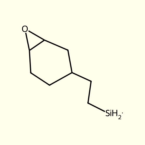 [SiH2]CCC1CCC2OC2C1